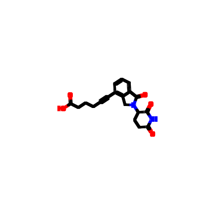 O=C(O)CCCC#Cc1cccc2c1CN(C1CCC(=O)NC1=O)C2=O